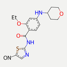 CCOc1cc(NC2CCOCC2)ccc1C(=O)Nc1ncc(N=O)s1